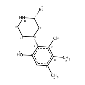 CC[C@@H]1C[C@H](c2c(O)cc(C)c(C)c2Cl)CCN1